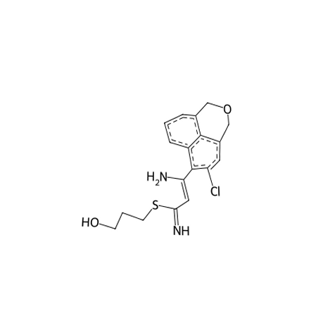 N=C(/C=C(\N)c1c(Cl)cc2c3c(cccc13)COC2)SCCCO